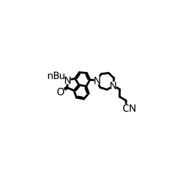 CCCCN1C(=O)c2cccc3c(N4CCCN(CCCC#N)CC4)ccc1c23